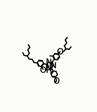 CCCCC(CC)CCCc1ccc(-c2nc(C3=CC=C(OC)CC3)nc(-c3ccc(OCC(CC)CCCC)cc3C)n2)c(O)c1